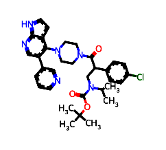 CC(C)N(CC(C(=O)N1CCN(c2c(-c3cccnc3)cnc3[nH]ccc23)CC1)c1ccc(Cl)cc1)C(=O)OC(C)(C)C